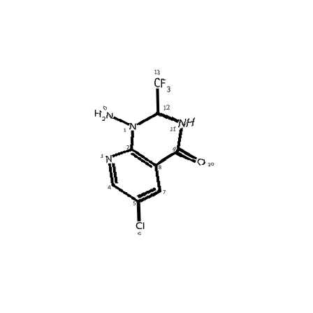 NN1c2ncc(Cl)cc2C(=O)NC1C(F)(F)F